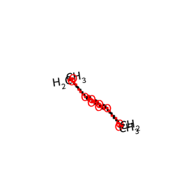 C=C(C)C(=O)OCCCCCCCCCCCOc1ccc(OC(=O)c2ccc(OC(=O)C3CCC(OCCCCCCCCCCCOC(=O)C(=C)C)CC3)cc2)cc1